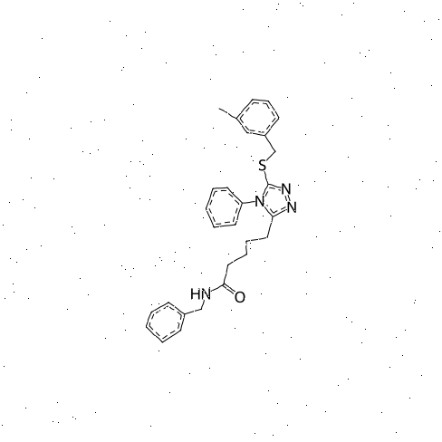 Cc1cccc(CSc2nnc(CCCCC(=O)NCc3ccccc3)n2-c2ccccc2)c1